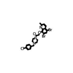 Cc1ccc2c(Br)cc(Br)c(OCC(=O)N3CCN(Cc4ccc(Cl)cc4)CC3)c2n1